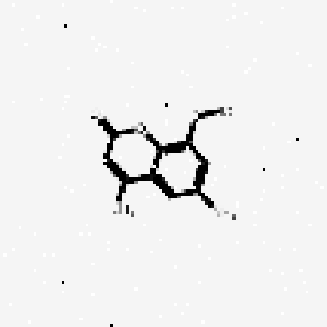 CCOc1cc(N)cc2c(C)cc(=O)oc12